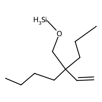 C=CC(CCC)(CCCC)CO[SiH3]